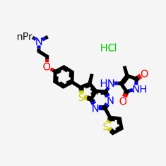 CCCN(C)CCOc1ccc(-c2sc3nc(-c4cccs4)nc(NC4=C(C)C(=O)NC4=O)c3c2C)cc1.Cl